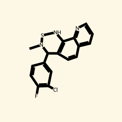 CN1SNc2c(ccc3cccnc23)C1c1ccc(F)c(Cl)c1